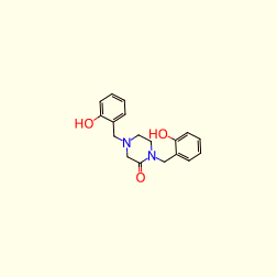 O=C1CN(Cc2ccccc2O)CCN1Cc1ccccc1O